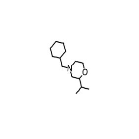 CC(C)C1CN(CC2CCCCC2)CCO1